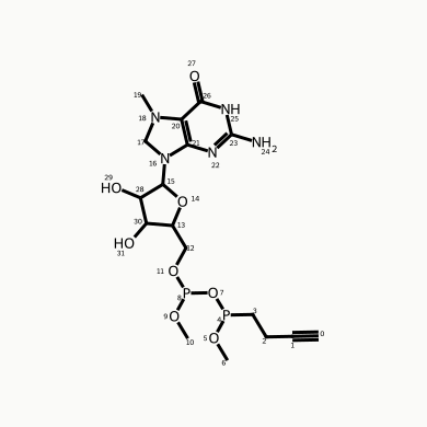 C#CCCP(OC)OP(OC)OCC1OC(N2CN(C)c3c2nc(N)[nH]c3=O)C(O)C1O